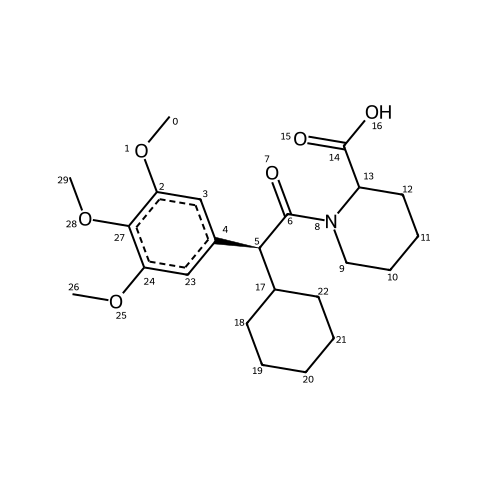 COc1cc([C@@H](C(=O)N2CCCCC2C(=O)O)C2CCCCC2)cc(OC)c1OC